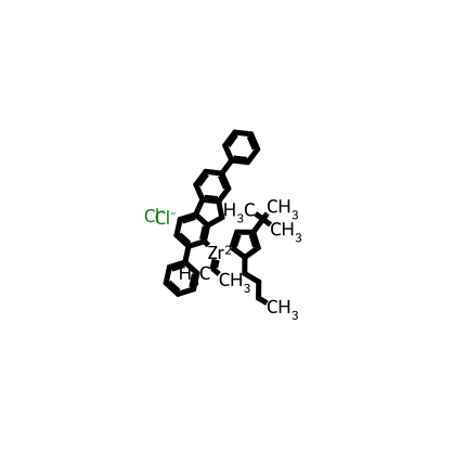 CCCCC1C=C(C(C)(C)C)C=[C]1[Zr+2](=[C](C)C)[c]1c(-c2ccccc2)ccc2c1Cc1cc(-c3ccccc3)ccc1-2.[Cl-].[Cl-]